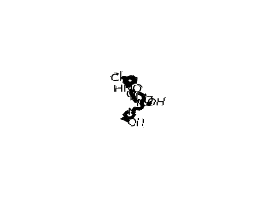 O=C(Nc1cccc(Cl)c1)ON1CCC(=O)N([C@H](CO)CCN2CCC3(CC3)[C@H](O)C2)CC1